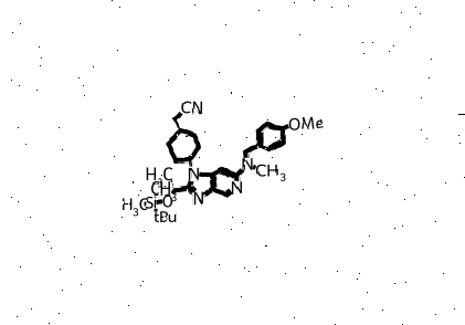 COc1ccc(CN(C)c2cc3c(cn2)nc([C@@H](C)O[Si](C)(C)C(C)(C)C)n3[C@H]2CC[C@H](CC#N)CC2)cc1